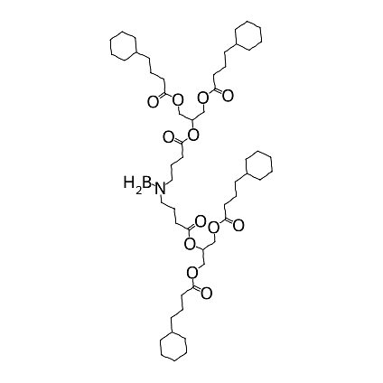 BN(CCCC(=O)OC(COC(=O)CCCC1CCCCC1)COC(=O)CCCC1CCCCC1)CCCC(=O)OC(COC(=O)CCCC1CCCCC1)COC(=O)CCCC1CCCCC1